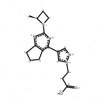 C[C@H]1CCN1c1nc2c(c(-c3cnn(CCC(=O)O)c3)n1)CCC2